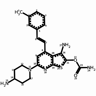 Cc1cccc(/C=C/c2cc(N3CCC(N)CC3)nc3sc(OC(N)=O)c(N)c23)c1